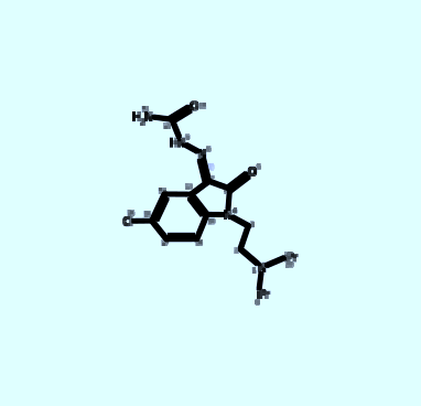 CC(C)N(CCN1C(=O)/C(=N/NC(N)=O)c2cc(Cl)ccc21)C(C)C